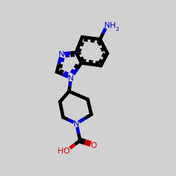 Nc1ccc2c(c1)ncn2C1CCN(C(=O)O)CC1